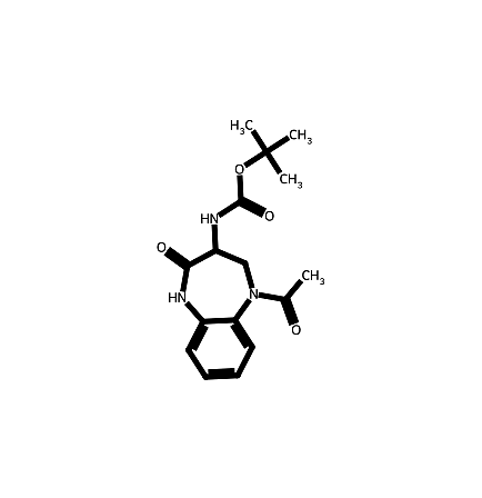 CC(=O)N1CC(NC(=O)OC(C)(C)C)C(=O)Nc2ccccc21